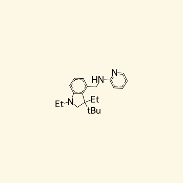 CCN1CC(CC)(C(C)(C)C)c2c(CNc3ccccn3)cccc21